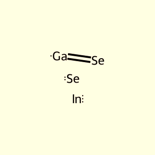 [Ga]=[Se].[In].[Se]